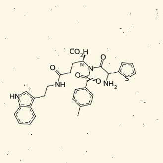 Cc1ccc(S(=O)(=O)N(C(=O)C(N)c2cccs2)[C@@H](CCC(=O)NCCc2c[nH]c3ccccc23)C(=O)O)cc1